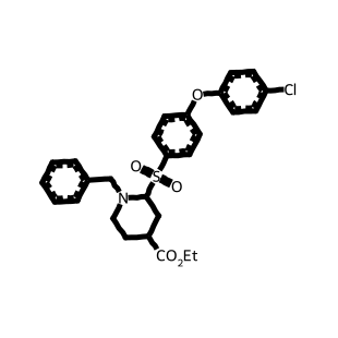 CCOC(=O)C1CCN(Cc2ccccc2)C(S(=O)(=O)c2ccc(Oc3ccc(Cl)cc3)cc2)C1